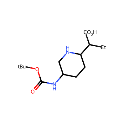 CCC(C(=O)O)C1CCC(NC(=O)OC(C)(C)C)CN1